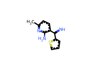 Cc1ccc(C(=N)c2cccs2)c(N)n1